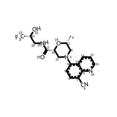 C[C@@H]1CN(c2ccc(C#N)c3ncccc23)C[C@H](C(=O)NC[C@@H](O)C(F)(F)F)O1